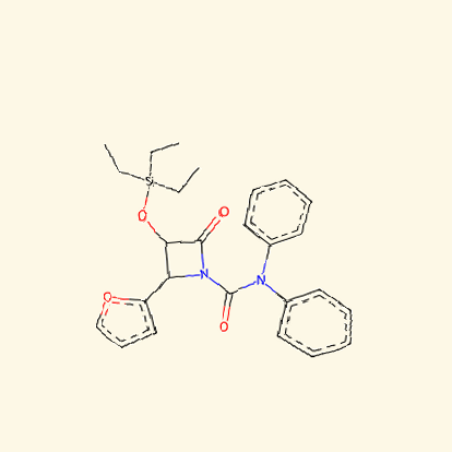 CC[Si](CC)(CC)OC1C(=O)N(C(=O)N(c2ccccc2)c2ccccc2)C1c1ccco1